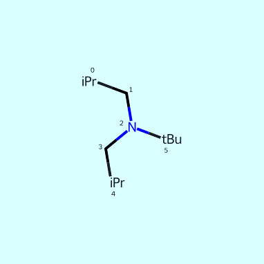 CC(C)CN(CC(C)C)C(C)(C)C